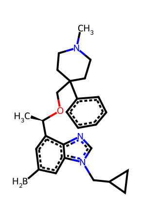 Bc1cc([C@@H](C)OCC2(c3ccccc3)CCN(C)CC2)c2ncn(CC3CC3)c2c1